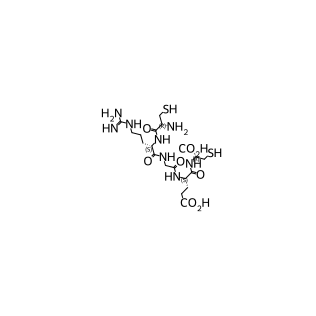 N=C(N)NCCC[C@H](NC(=O)[C@@H](N)CS)C(=O)NCC(=O)N[C@@H](CCC(=O)O)C(=O)N[C@@H](CS)C(=O)O